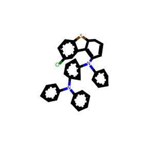 Clc1ccc2c(c1)C1=C(N(c3ccccc3)c3cccc(N(c4ccccc4)c4ccccc4)c3)C=CCC1S2